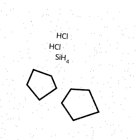 C1CCCC1.C1CCCC1.Cl.Cl.[SiH4]